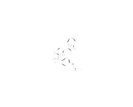 Cc1nc2ccccn2c1-c1ccnc(C2(c3ccc(C(=O)NO)cc3)CC2)n1